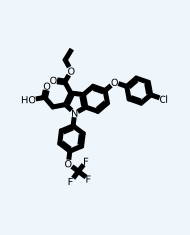 CCOC(=O)c1c(CC(=O)O)n(-c2ccc(OC(F)(F)F)cc2)c2ccc(Oc3ccc(Cl)cc3)cc12